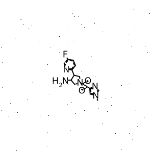 Cn1cnc(S(=O)(=O)N2CC(N)C(c3ccc(F)cn3)C2)c1